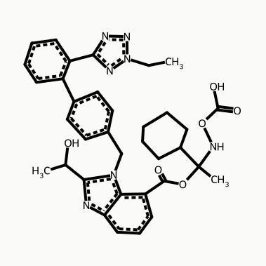 CCn1nnc(-c2ccccc2-c2ccc(Cn3c(C(C)O)nc4cccc(C(=O)OC(C)(NOC(=O)O)C5CCCCC5)c43)cc2)n1